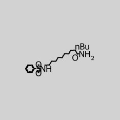 CCCCC(CCCCCCCCCNS(=O)(=O)c1ccccc1)C(N)=O